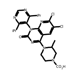 CC(C)c1ncnc(C(C)C)c1-n1c(=O)nc(N2CCN(C(=O)O)CC2C)c2cc(Cl)c(Cl)nc21